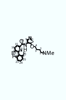 CNCCCCOc1sncc1NC(=O)c1ccc(F)c(-c2c(F)cccc2F)n1